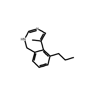 CCCc1cccc2c1/C(C)=C/N=C\NC2